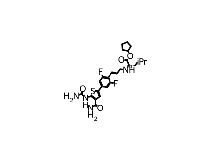 CC(C)C[C@H](NCC=Cc1c(F)cc(-c2cc(C(N)=O)c(NC(N)=O)s2)cc1F)C(=O)OC1CCCC1